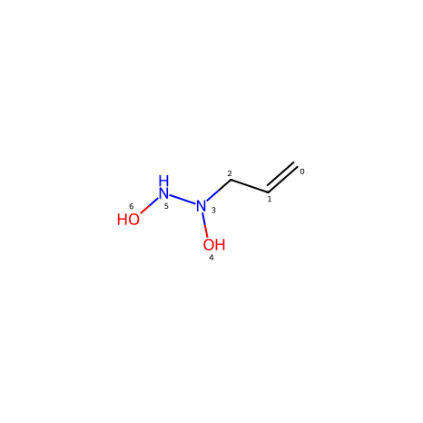 C=CCN(O)NO